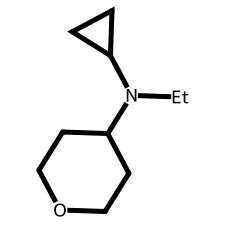 CCN(C1CCOCC1)C1CC1